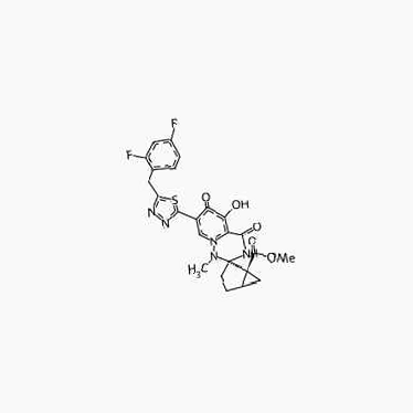 COC(=O)[C@@]12CC1CCC21NC(=O)c2c(O)c(=O)c(-c3nnc(Cc4ccc(F)cc4F)s3)cn2N1C